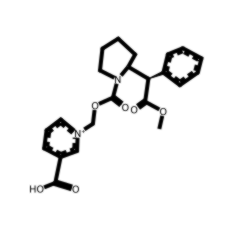 COC(=O)[C@H](c1ccccc1)C1CCCCN1C(=O)OC[n+]1cccc(C(=O)O)c1